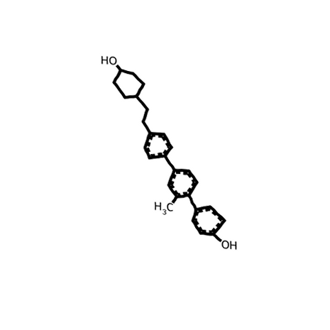 Cc1cc(-c2ccc(CCC3CCC(O)CC3)cc2)ccc1-c1ccc(O)cc1